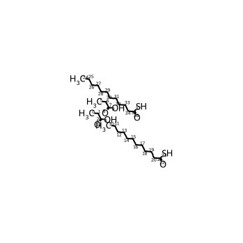 CCC(=O)O.CCC(=O)O.CCCCCCCCCCCC(=O)S.CCCCCCCCCCCC(=O)S